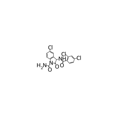 NC(=O)N1C(=O)C(NC(=O)c2ccc(Cl)cc2Cl)c2cc(Cl)ccc21